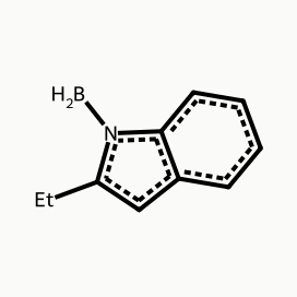 Bn1c(CC)cc2ccccc21